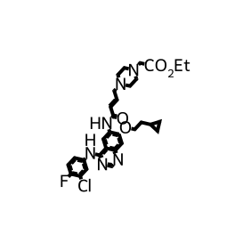 CCOC(=O)CN1CCN(CC=CC(=O)Nc2cc3c(Nc4ccc(F)c(Cl)c4)ncnc3cc2OCCC2CC2)CC1